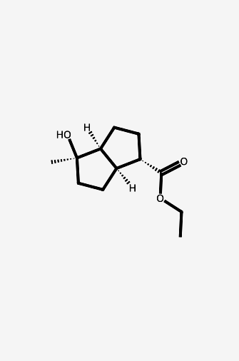 CCOC(=O)[C@H]1CC[C@H]2[C@@H]1CC[C@@]2(C)O